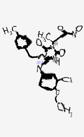 CCOc1ccc(/N=c2\[nH]c(=O)n([C@@H](C)CC(=O)N=O)c(=O)n2Cc2ccc(C)cc2)cc1Cl